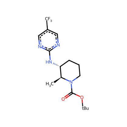 C[C@H]1[C@H](Nc2ncc(C(F)(F)F)cn2)CCCN1C(=O)OC(C)(C)C